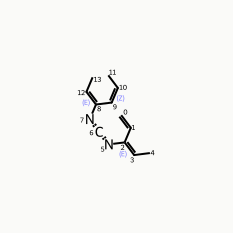 C=C/C(=C\C)N=C=NC(/C=C\C)=C/C